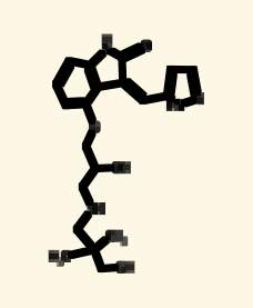 CC(C)(CO)CNCC(O)COc1cccc2c1C(=Cc1ccn[nH]1)C(=O)N2